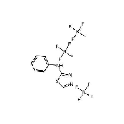 F[B-](F)(F)F.F[B-](F)(F)F.F[B-](F)(F)F.c1ccc(Nc2nncs2)cc1